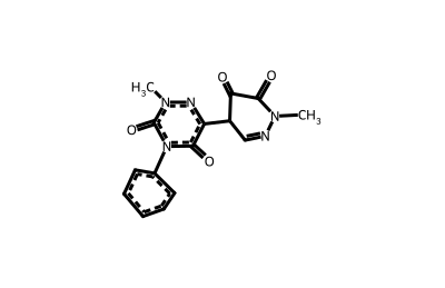 CN1N=CC(c2nn(C)c(=O)n(-c3ccccc3)c2=O)C(=O)C1=O